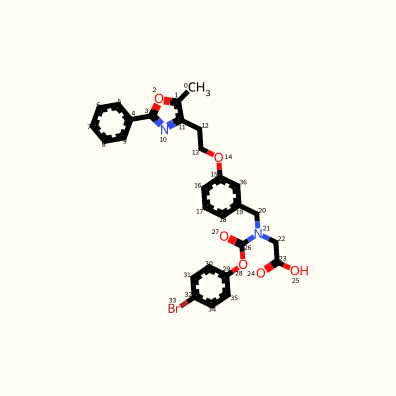 Cc1oc(-c2ccccc2)nc1CCOc1cccc(CN(CC(=O)O)C(=O)Oc2ccc(Br)cc2)c1